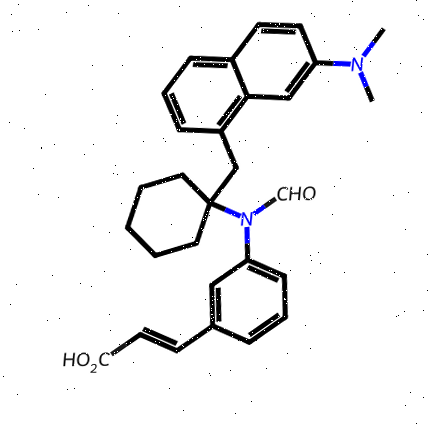 CN(C)c1ccc2cccc(CC3(N(C=O)c4cccc(/C=C/C(=O)O)c4)CCCCC3)c2c1